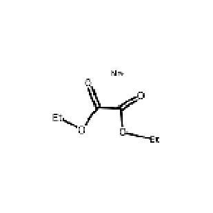 CCOC(=O)C(=O)OCC.[Na]